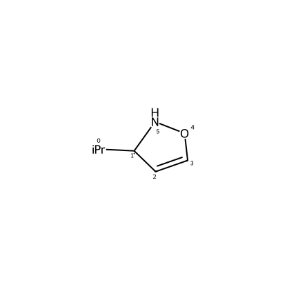 CC(C)[C]1C=CON1